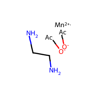 CC(=O)[O-].CC(=O)[O-].NCCN.[Mn+2]